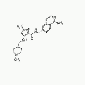 Cc1cc(NCC2CCN(C)CC2)c(C(=O)NCc2ccc3c(N)nccc3c2)s1